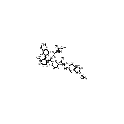 CCc1cccc(-c2c(Cl)cccc2[C@H](OCCNC(=O)O)[C@@H]2CCCN(C(=O)NC[C@H](Cc3ccc(OC)cc3)NC)C2)c1